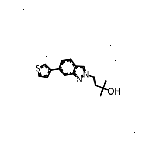 CC(C)(O)CCn1cc2ccc(-c3ccsc3)cc2n1